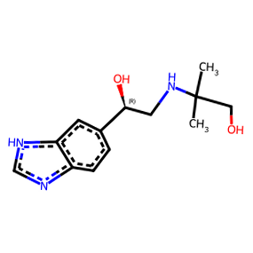 CC(C)(CO)NC[C@H](O)c1ccc2nc[nH]c2c1